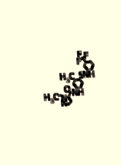 CCn1nccc1C(=O)Nc1ccc(SNc2cccc(C(F)(F)F)c2)c(C)c1